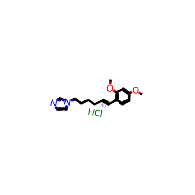 COc1ccc(/C=C/CCCCn2ccnc2)c(OC)c1.Cl